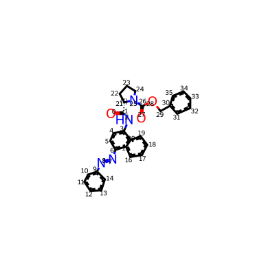 O=C(Nc1ccc(N=Nc2ccccc2)c2ccccc12)[C@@H]1CCCN1C(=O)OCc1ccccc1